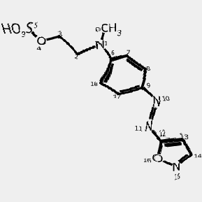 CN(CCOS(=O)(=O)O)c1ccc(N=Nc2ccno2)cc1